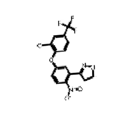 O=[N+]([O-])c1ccc(Oc2ccc(C(F)(F)F)cc2Cl)cc1C1=NO[CH]C1